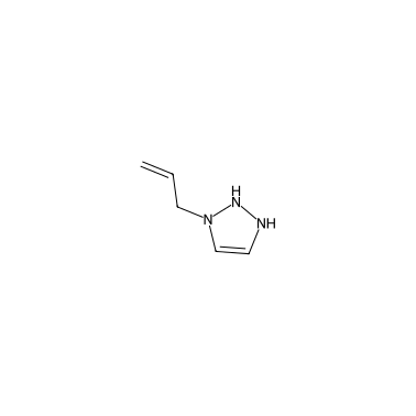 C=CCN1C=CNN1